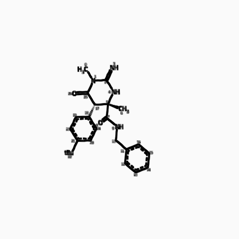 CN1C(=N)N[C@](C)(C(=O)NCc2ccccc2)[C@H](c2ccc(C(C)(C)C)cc2)C1=O